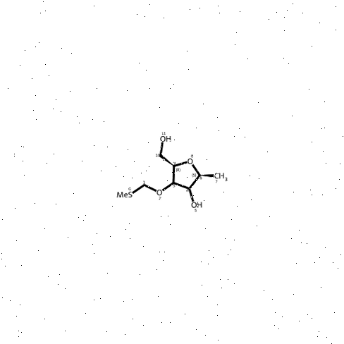 CSCOC1C(O)[C@H](C)O[C@@H]1CO